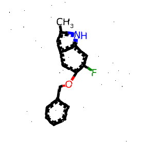 Cc1cc2cc(OCc3ccccc3)c(F)cc2[nH]1